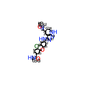 CC(C)(C)NC(=O)c1cccc(Oc2ccc(Nc3ncnc4c3C=C(/C=N/OC(C)(C)C)CCN4)cc2Cl)c1